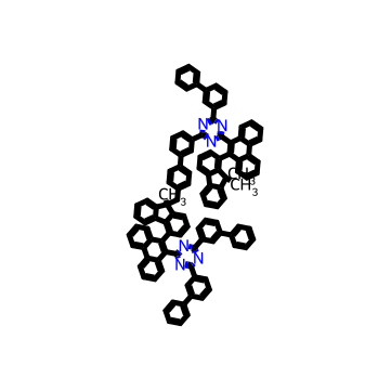 CC1(C)c2ccccc2-c2cccc(-c3c(-c4nc(-c5cccc(-c6ccccc6)c5)nc(-c5cccc(-c6ccc(CC7(C)c8ccccc8-c8c(-c9c(-c%10nc(-c%11cccc(-c%12ccccc%12)c%11)nc(-c%11cccc(-c%12ccccc%12)c%11)n%10)c%10ccccc%10c%10ccccc9%10)cccc87)cc6)c5)n4)c4ccccc4c4ccccc34)c21